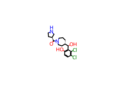 O=C([C@H]1CCNC1)N1CCC[C@H]([C@@H](O)c2c(O)ccc(Cl)c2Cl)CC1